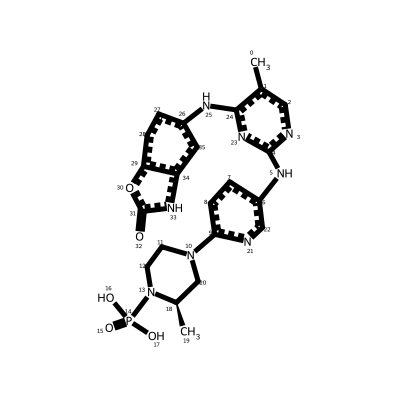 Cc1cnc(Nc2ccc(N3CCN(P(=O)(O)O)[C@H](C)C3)nc2)nc1Nc1ccc2oc(=O)[nH]c2c1